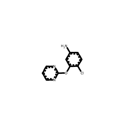 Nc1ccc(Cl)c(Oc2ncccn2)c1